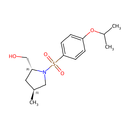 CC(C)Oc1ccc(S(=O)(=O)N2C[C@@H](C)C[C@@H]2CO)cc1